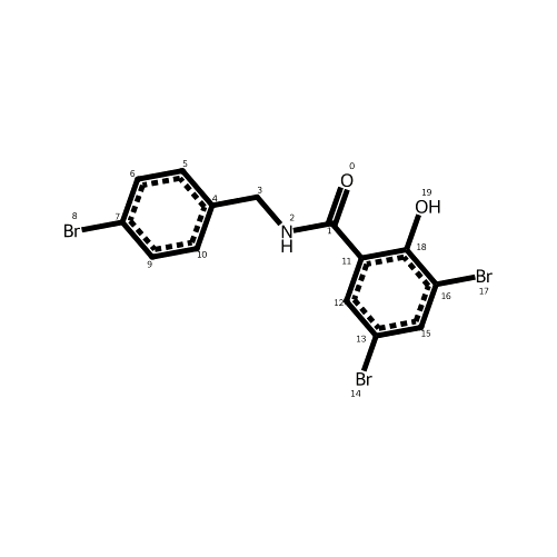 O=C(NCc1ccc(Br)cc1)c1cc(Br)cc(Br)c1O